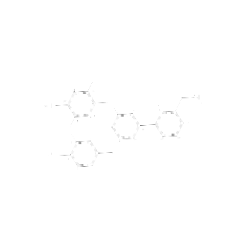 Cc1ccc(C(=O)O)c(Oc2nc(Oc3cccc(-c4cccc(CN)n4)c3)c(F)cc2F)c1